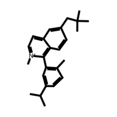 Cc1ccc(C(C)C)cc1-c1c2ccc(CC(C)(C)C)cc2cc[n+]1C